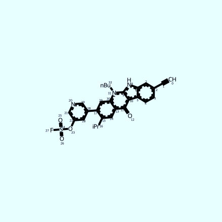 C#Cc1ccc2c(c1)[nH]c1c2c(=O)c2cc(C(C)C)c(-c3cncc(OS(=O)(=O)F)c3)cc2n1CCCC